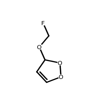 FCOC1C=COO1